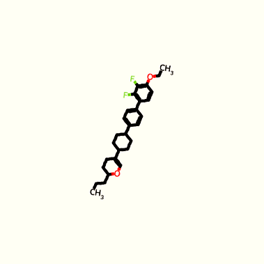 CCCC1CCC(C2CCC(c3ccc(-c4ccc(OCC)c(F)c4F)cc3)CC2)=CO1